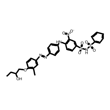 CCC(O)COc1ccc(N=Nc2ccc(Nc3ccc(S(=O)(=O)NS(=O)(=O)c4ccccc4)cc3[N+](=O)[O-])cc2)cc1C